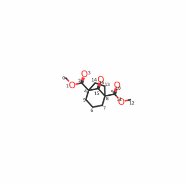 COC(=O)C12CCCC(C(=O)OC)(CC1)C2=O